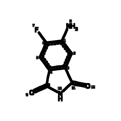 Nc1cc2c(cc1F)C(=O)NC2=O